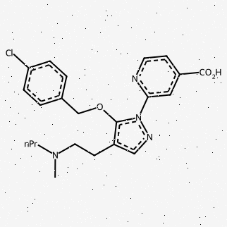 CCCN(C)CCc1cnn(-c2cc(C(=O)O)ccn2)c1OCc1ccc(Cl)cc1